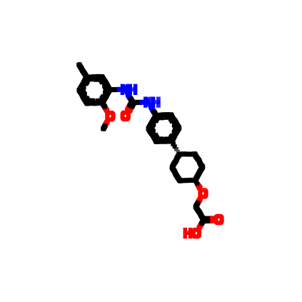 COc1ccc(C)cc1NC(=O)Nc1ccc([C@H]2CC[C@H](OCC(=O)O)CC2)cc1